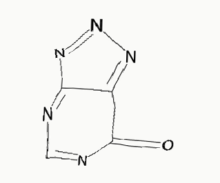 O=C1N=CN=C2N=NN=C12